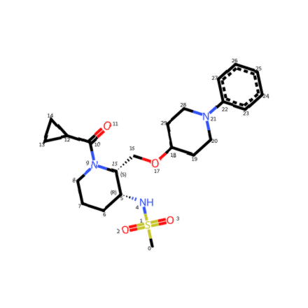 CS(=O)(=O)N[C@@H]1CCCN(C(=O)C2CC2)[C@@H]1COC1CCN(c2ccccc2)CC1